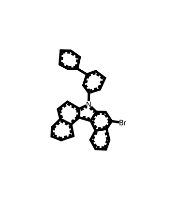 Brc1cc2c(c3ccccc13)c1c3ccccc3ccc1n2-c1cccc(-c2ccccc2)c1